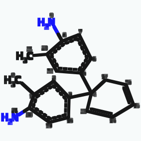 Cc1cc(C2(c3ccc(N)c(C)c3)C=CC=CC2)ccc1N